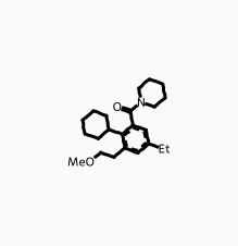 CCc1cc(CCOC)c(C2CCCCC2)c(C(=O)N2CCCCC2)c1